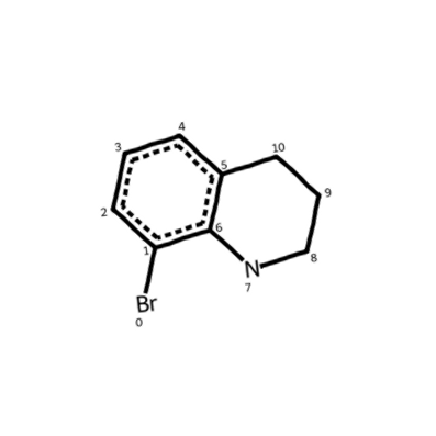 Brc1cccc2c1[N]CCC2